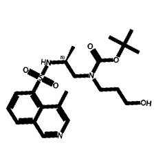 Cc1cncc2cccc(S(=O)(=O)N[C@@H](C)CN(CCCO)C(=O)OC(C)(C)C)c12